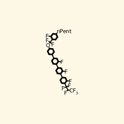 CCCCCc1ccc(C(F)(F)Oc2ccc(-c3ccc(-c4ccc(-c5ccc(C(F)(F)C(F)C(F)(F)F)c(F)c5)c(F)c4)c(F)c3)cc2)c(F)c1